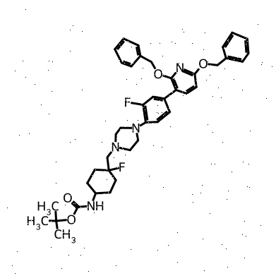 CC(C)(C)OC(=O)NC1CCC(F)(CN2CCN(c3ccc(-c4ccc(OCc5ccccc5)nc4OCc4ccccc4)cc3F)CC2)CC1